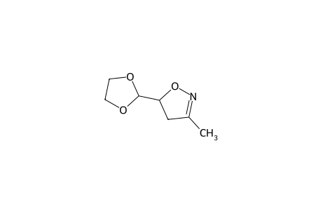 CC1=NOC(C2OCCO2)C1